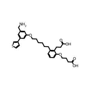 NCc1cc(OCCCCCCc2cccc(OCCCC(=O)O)c2CCC(=O)O)cc(-c2ccsc2)c1